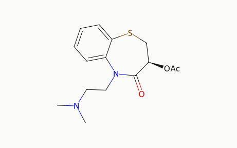 CC(=O)O[C@@H]1CSc2ccccc2N(CCN(C)C)C1=O